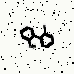 O=C(O)c1cccnc1-c1ccccc1F